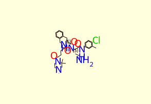 Cc1cc(NC(=O)[C@H](CCN)NC(=O)[C@@H]2Cc3ccccc3CN2C(=O)CCC(=O)N2CCN(C)CC2(C)C)ccc1Cl